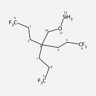 FC(F)(F)CCC(CCC(F)(F)F)(CCC(F)(F)F)CO[SiH3]